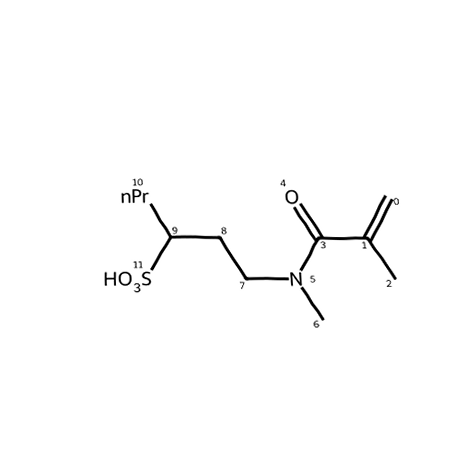 C=C(C)C(=O)N(C)CCC(CCC)S(=O)(=O)O